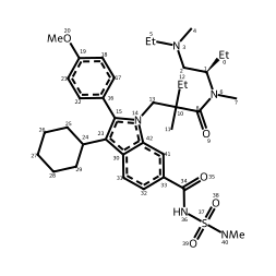 CC[C@H](CN(C)CC)N(C)C(=O)C(C)(CC)Cn1c(-c2ccc(OC)cc2)c(C2CCCCC2)c2ccc(C(=O)NS(=O)(=O)NC)cc21